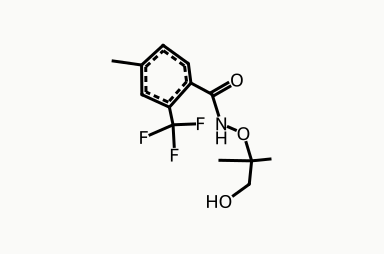 Cc1ccc(C(=O)NOC(C)(C)CO)c(C(F)(F)F)c1